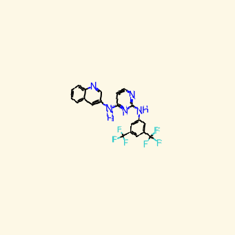 FC(F)(F)c1cc(Nc2nccc(Nc3cnc4ccccc4c3)n2)cc(C(F)(F)F)c1